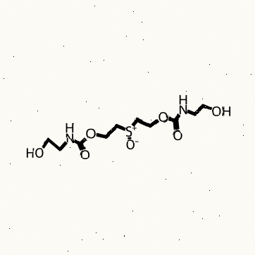 O=C(NCCO)OCC[S+]([O-])CCOC(=O)NCCO